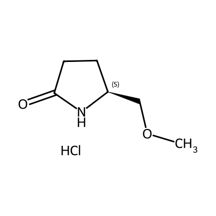 COC[C@@H]1CCC(=O)N1.Cl